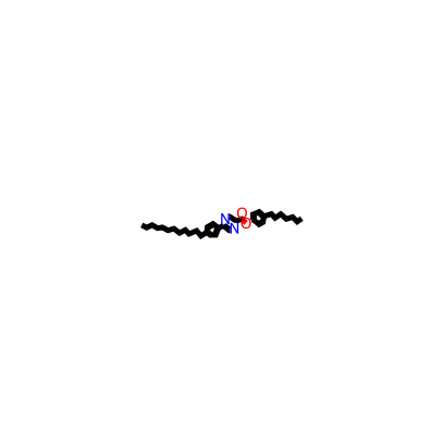 CCCCCCCCCCCCc1ccc(-c2cnc(C(=O)Oc3ccc(CCCCCCC)cc3)cn2)cc1